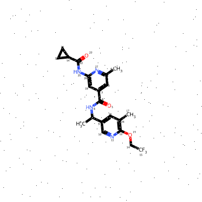 Cc1cc(C(=O)NC(C)c2cnc(OCC(F)(F)F)c(C)c2)cc(NC(=O)C2CC2)n1